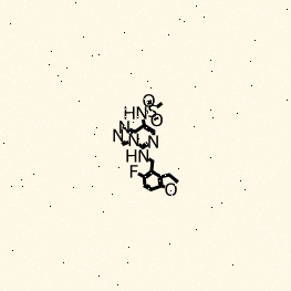 CS(=O)(=O)Nc1cnc(NCc2c(F)ccc3c2CCO3)n2cnnc12